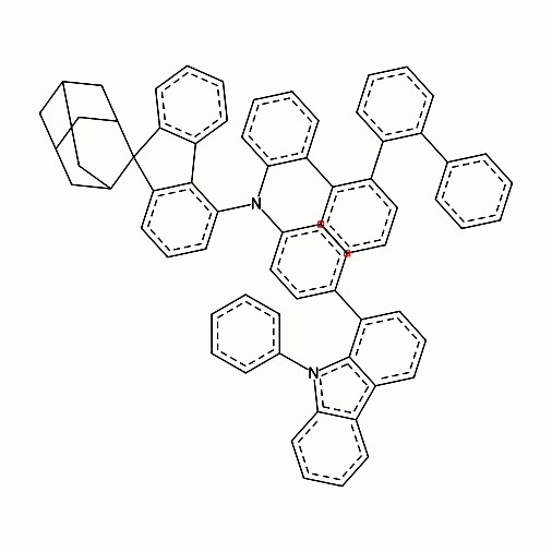 c1ccc(-c2ccccc2-c2ccccc2-c2ccccc2N(c2ccc(-c3cccc4c5ccccc5n(-c5ccccc5)c34)cc2)c2cccc3c2-c2ccccc2C32C3CC4CC(C3)CC2C4)cc1